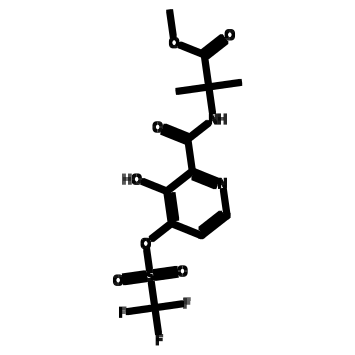 COC(=O)C(C)(C)NC(=O)c1nccc(OS(=O)(=O)C(F)(F)F)c1O